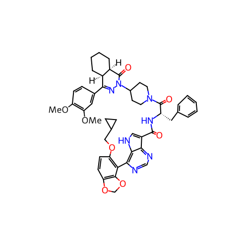 COc1ccc(C2=NN(C3CCN(C(=O)[C@H](Cc4ccccc4)NC(=O)c4c[nH]c5c(-c6c(OCC7CC7)ccc7c6OCO7)ncnc45)CC3)C(=O)[C@@H]3CCCC[C@H]23)cc1OC